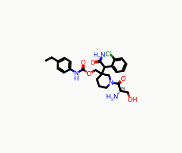 CCc1ccc(NC(=O)OCC2(C(C(N)=O)c3ccccc3Cl)CCCN(C(=O)[C@@H](N)CO)C2)cc1